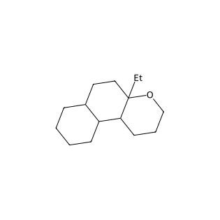 CCC12CCC3CCCCC3C1CCCO2